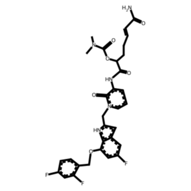 CN(C)C(=O)OC(CC/C=C/C(N)=O)C(=O)Nc1cccn(Cc2cc3cc(F)cc(OCc4ccc(F)cc4F)c3[nH]2)c1=O